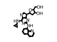 OCC1OC(C2C=Nc3c(NC4CC4)nc(Nc4cccc5cccnc45)nc32)CC1O